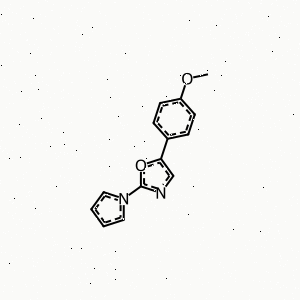 COc1ccc(-c2cnc(-n3cccc3)o2)cc1